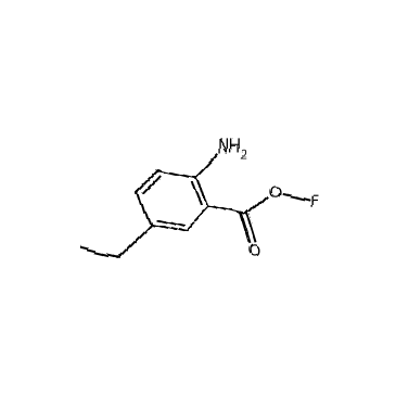 CCc1ccc(N)c(C(=O)OF)c1